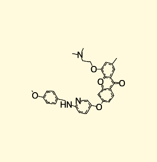 COc1ccc(CNc2ccc(Oc3ccc4c(=O)c5cc(C)cc(OCCN(C)C)c5oc4c3)cn2)cc1